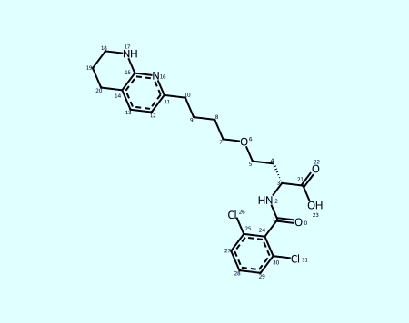 O=C(N[C@H](CCOCCCCc1ccc2c(n1)NCCC2)C(=O)O)c1c(Cl)cccc1Cl